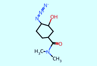 CN(C)C(=O)C1CCC(N=[N+]=[N-])C(O)C1